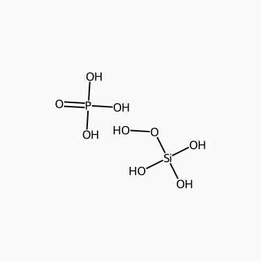 O=P(O)(O)O.OO[Si](O)(O)O